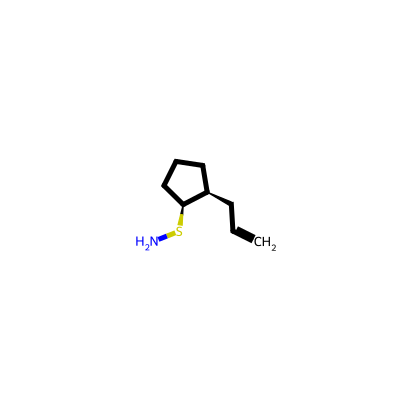 C=CC[C@@H]1CCC[C@@H]1SN